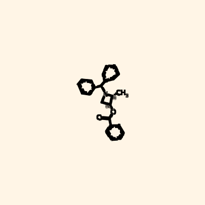 C[C@@H]1[C@@H](OC(=O)c2ccccc2)CN1C(c1ccccc1)c1ccccc1